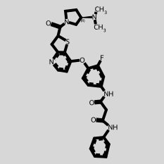 CN(C)[C@@H]1CCN(C(=O)C2Cc3nccc(Oc4ccc(NC(=O)CC(=O)Nc5ccccc5)cc4F)c3S2)C1